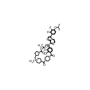 CC(C)(C)OC(=O)N1CCC(C[N+]2(C)CCC(C(=O)N3CCN(C(=O)c4ccc(Nc5nccn6c(-c7ccc(OC(F)F)c(F)c7F)cnc56)cc4Cl)CC3)CC2)C1